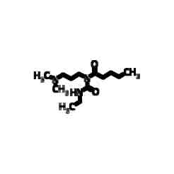 CCCCC(=O)N(CCCN(C)C)C(=O)NCC